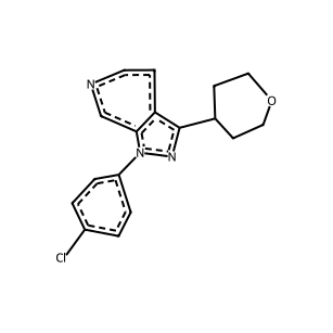 Clc1ccc(-n2nc(C3CCOCC3)c3ccncc32)cc1